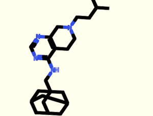 CC(C)CCN1CCc2c(ncnc2NCC23CC4CC(CC(C4)C2)C3)C1